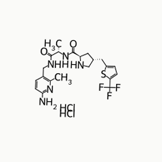 Cc1nc(N)ccc1CNC(=O)[C@H](C)NC(=O)[C@H]1C[C@H](Cc2ccc(C(F)(F)F)s2)CN1.Cl.Cl